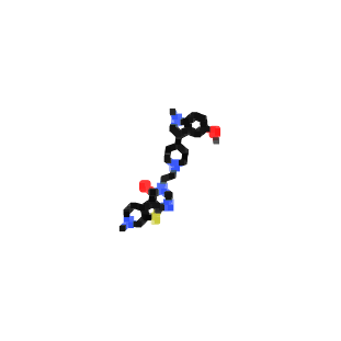 COc1ccc2c(c1)c(C1CCN(CCn3cnc4sc5c(c4c3=O)CCN(C)C5)CC1)cn2C